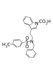 Cc1ccc(S(=O)(=O)N(CCc2cn(C(=O)O)c3ccccc23)Cc2ccccc2)cc1